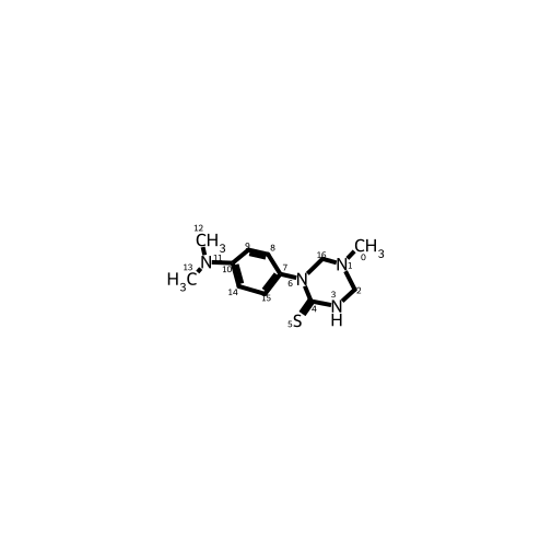 CN1CNC(=S)N(c2ccc(N(C)C)cc2)C1